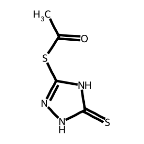 CC(=O)Sc1n[nH]c(=S)[nH]1